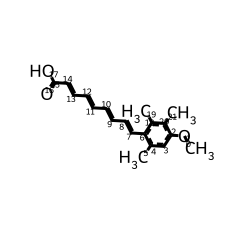 COc1cc(C)c(C=CC=CC=CC=CC(=O)O)c(C)c1C